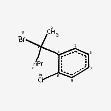 CCCC(C)(Br)c1ccccc1Cl